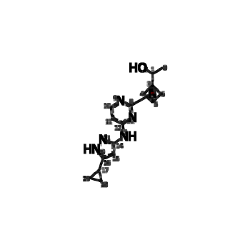 CC(O)C12CC(C1)N(c1nccc(Nc3cc(C4CC4)[nH]n3)n1)C2